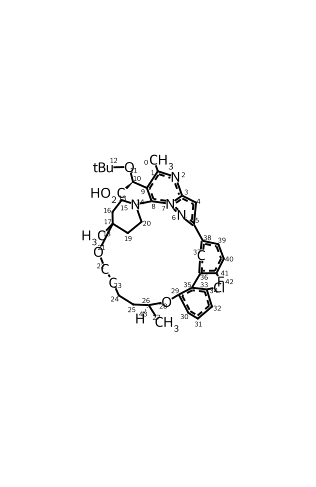 Cc1nc2cc3nn2c(c1[C@H](OC(C)(C)C)C(=O)O)N1CCC(C)(CC1)OCCCC[C@H](C)Oc1cccc(Cl)c1-c1cc-3ccc1F